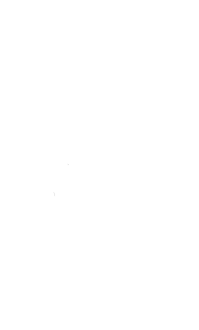 [CH2]C(C)c1cc(F)ccc1CCC